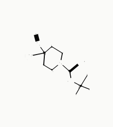 [C-]#[N+]C1(N)CCN(C(=O)OC(C)(C)C)CC1